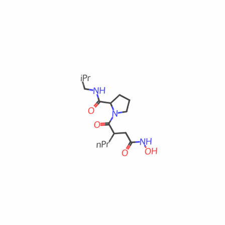 CCCC(CC(=O)NO)C(=O)N1CCCC1C(=O)NCC(C)C